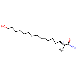 C/C(=C\CCCCCCCCCCCCCO)C(N)=O